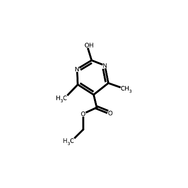 CCOC(=O)c1c(C)nc(O)nc1C